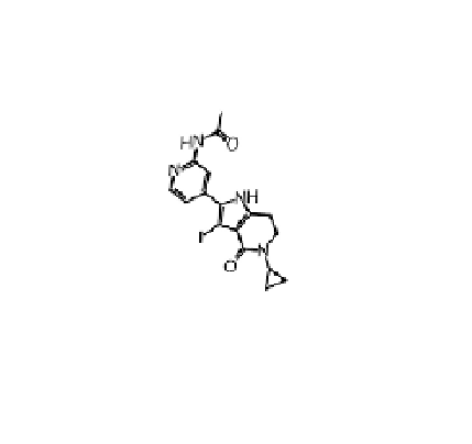 CC(=O)Nc1cc(-c2[nH]c3c(c2I)C(=O)N(C2CC2)CC3)ccn1